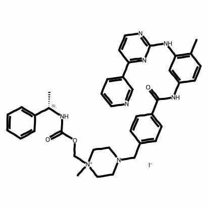 Cc1ccc(NC(=O)c2ccc(CN3CC[N+](C)(COC(=O)N[C@@H](C)c4ccccc4)CC3)cc2)cc1Nc1nccc(-c2cccnc2)n1.[I-]